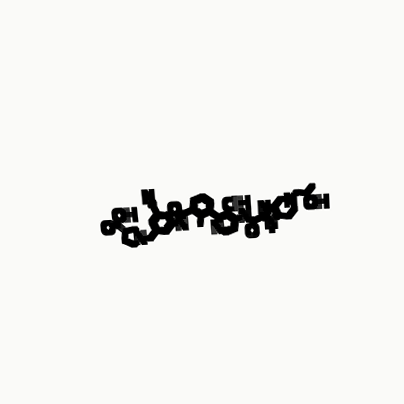 Cc1c(-c2nc3cc(CN4CC[C@@H](C(=O)O)C4)cc(C#N)c3o2)cccc1-c1nccc(NC(=O)c2nc3c(n2C)CCN(CC(C)O)C3)c1Cl